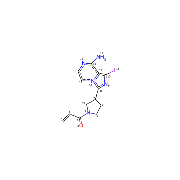 C=CC(=O)N1CCC(c2nc(I)c3c(N)nccn23)C1